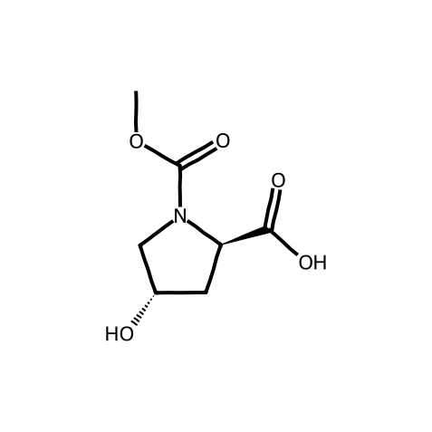 COC(=O)N1C[C@@H](O)C[C@@H]1C(=O)O